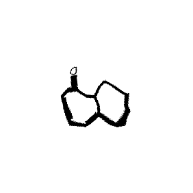 O=C1C=CC=C2CCC[C]C12